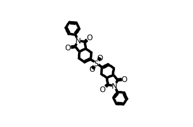 O=C1C2CC=C(S(=O)(=O)C3=CCC4C(=O)N(c5ccccc5)C(=O)C4C3)CC2C(=O)N1c1ccccc1